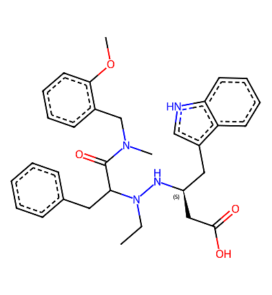 CCN(N[C@H](CC(=O)O)Cc1c[nH]c2ccccc12)C(Cc1ccccc1)C(=O)N(C)Cc1ccccc1OC